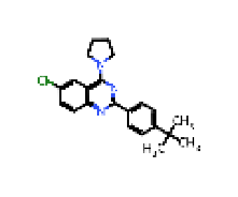 CC(C)(C)c1ccc(-c2nc(N3CCCC3)c3cc(Cl)ccc3n2)cc1